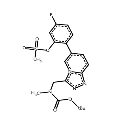 CN(Cc1nnc2ccc(-c3ccc(F)cc3OS(C)(=O)=O)cn12)C(=O)OC(C)(C)C